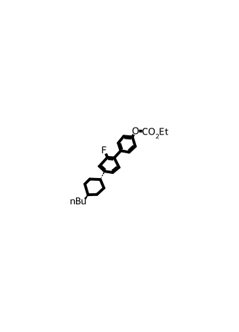 CCCC[C@H]1CC[C@H](c2ccc(-c3ccc(OC(=O)OCC)cc3)c(F)c2)CC1